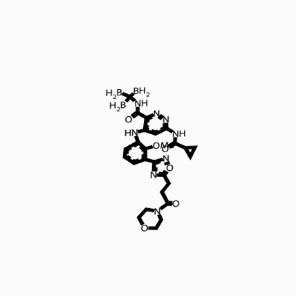 BC(B)(B)NC(=O)c1nnc(NC(=O)C2CC2)cc1Nc1cccc(-c2noc(CCC(=O)N3CCOCC3)n2)c1OC